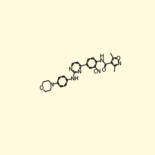 Cc1noc(C)c1C(=O)Nc1ccc(-c2ccnc(Nc3ccc(N4CCOCC4)cc3)n2)cc1C#N